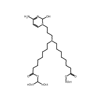 CCCCCCCCOC(=O)CCCCCCCN(CCCCCCCC(=O)OC(CCCCCCCC)CCCCCCCC)CCCN1C=CC(N)=NC1O